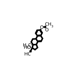 C#C[C@]1(O)CCC2C3=CCc4cc(OC(C)=O)ccc4C3CC[C@@]21C